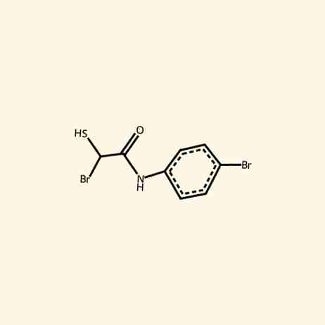 O=C(Nc1ccc(Br)cc1)C(S)Br